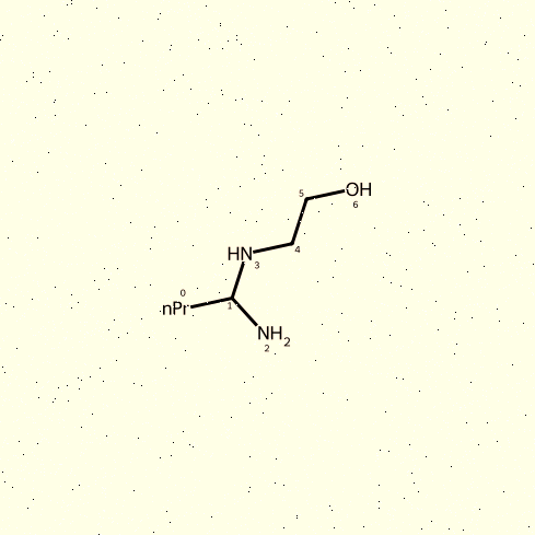 CCCC(N)NCCO